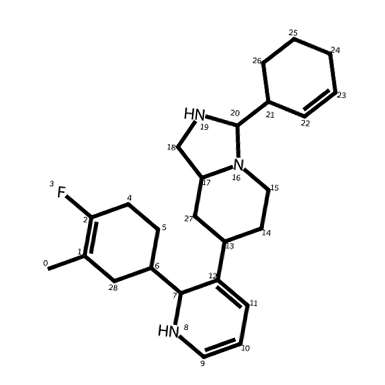 CC1=C(F)CCC(C2NC=CC=C2C2CCN3C(CNC3C3C=CCCC3)C2)C1